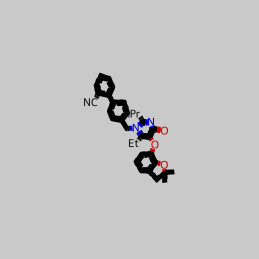 CCCc1nc(=O)c(Oc2cccc3c2OC(C)(C)C3)c(CC)n1Cc1ccc(-c2ccccc2C#N)cc1